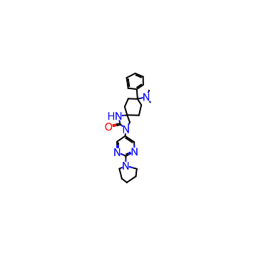 CN(C)C1(c2ccccc2)CCC2(CC1)CN(c1cnc(N3CCCCC3)nc1)C(=O)N2